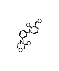 O=Cc1cccn(-c2cccc(N3CCOCC3=O)c2)c1=O